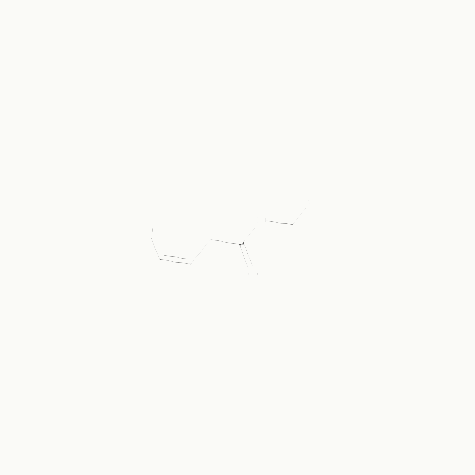 CCOC(=O)C/C=C\[O]